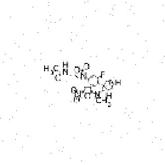 CC(=O)NC[C@H]1CN(c2ccc(C34CNC[C@H]3[C@@H]4N(C)c3ccc([N+](=O)[O-])o3)c(F)c2)C(=O)O1